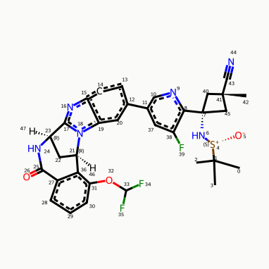 CC(C)(C)[S@@+]([O-])N[C@]1(c2ncc(-c3ccc4nc5n(c4c3)[C@@H]3C[C@H]5NC(=O)c4cccc(OC(F)F)c43)cc2F)C[C@](C)(C#N)C1